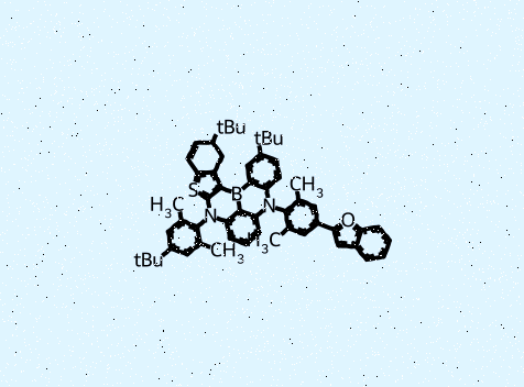 Cc1cc(-c2cc3ccccc3o2)cc(C)c1N1c2ccc(C(C)(C)C)cc2B2c3c1cccc3N(c1c(C)cc(C(C)(C)C)cc1C)c1sc3c(c12)CC(C(C)(C)C)C=C3